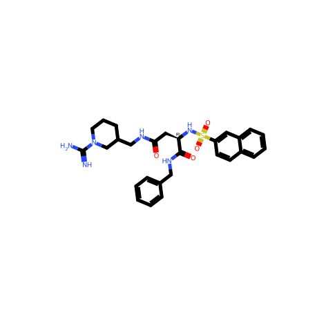 N=C(N)N1CCCC(CNC(=O)C[C@@H](NS(=O)(=O)c2ccc3ccccc3c2)C(=O)NCc2ccccc2)C1